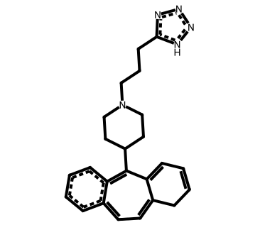 C1=CCC2=CC=c3ccccc3=C(C3CCN(CCCc4nnn[nH]4)CC3)C2=C1